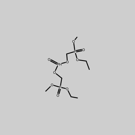 CCOP(=O)(CO[PH](=O)OCP(=O)(OC)OCC)OC